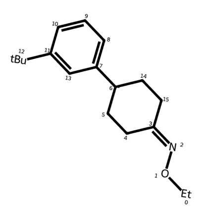 CCON=C1CC[C](c2cccc(C(C)(C)C)c2)CC1